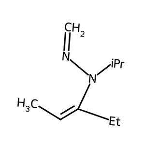 C=NN(/C(=C\C)CC)C(C)C